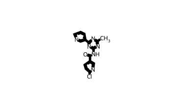 Cc1nc(NC(=O)c2ccc(Cl)nc2)nc(-c2cccnc2)n1